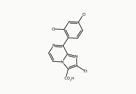 CCc1nc2c(-c3ccc(Cl)cc3Cl)nccn2c1C(=O)O